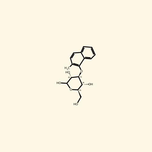 Cc1ccc2ccccc2c1O[C@H]1[C@H](O)[C@@H](CO)OC(O)[C@@H]1O